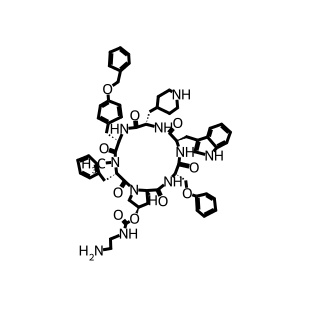 CN1C(=O)[C@H](Cc2ccc(OCc3ccccc3)cc2)NC(=O)[C@H](CC2CCNCC2)NC(=O)[C@@H](Cc2c[nH]c3ccccc23)NC(=O)[C@H](COc2ccccc2)NC(=O)[C@@H]2C[C@@H](OC(=O)NCCN)CN2C(=O)[C@@H]1Cc1ccccc1